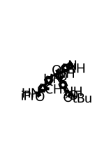 Cc1cc(C(=O)NC(C)C)ccc1-c1ccc(C[C@H](NC(=O)C2CCC(CNC(=O)OC(C)(C)C)CC2)C(=O)Nc2ccc3cn[nH]c3c2)cc1